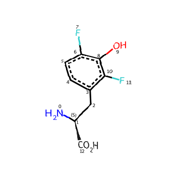 N[C@@H](Cc1ccc(F)c(O)c1F)C(=O)O